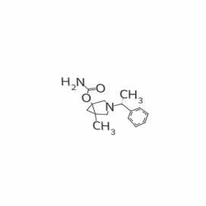 C[C@H](c1ccccc1)N1CC2(C)CC2(OC(N)=O)C1